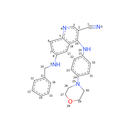 N#Cc1cnc2ccc(NCc3ccccc3)cc2c1Nc1ccc(N2CCOCC2)cc1